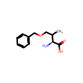 CC(COCc1ccccc1)[C@H](N)C(=O)O